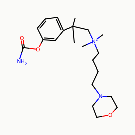 CC(C)(C[N+](C)(C)CCCCN1CCOCC1)c1cccc(OC(N)=O)c1